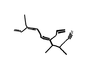 C=C/C(C)=C\C=C(/C=C)C(C)C(C)C#N